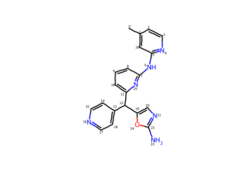 Cc1ccnc(Nc2cccc(C(c3ccncc3)c3cnc(N)o3)n2)c1